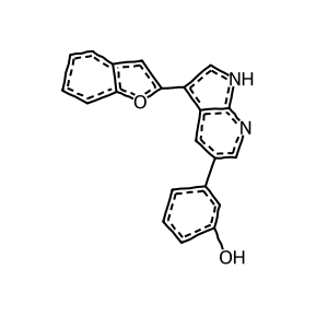 Oc1cccc(-c2cnc3[nH]cc(-c4cc5ccccc5o4)c3c2)c1